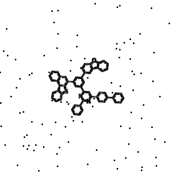 c1ccc(-c2ccc(-c3cc(-c4cc(-c5ccc6oc7ccccc7c6c5)cc(-c5cc6ccccc6c6c5sc5ccccc56)c4)nc(-c4ccccc4)n3)cc2)cc1